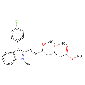 CC(C)n1c(/C=C/[C@@H](C[C@@H](CC(=O)O[N+](=O)[O-])O[N+](=O)[O-])O[N+](=O)[O-])c(-c2ccc(F)cc2)c2ccccc21